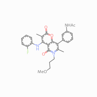 COCCCn1c(C)c(-c2cccc(NC(C)=O)c2)c2oc(=O)c(C)c(Nc3ccccc3F)c2c1=O